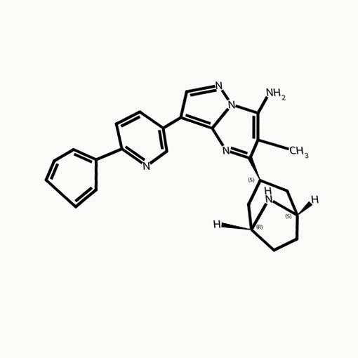 Cc1c([C@@H]2C[C@H]3CC[C@@H](C2)N3)nc2c(-c3ccc(-c4ccccc4)nc3)cnn2c1N